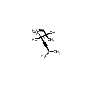 C=CC(C)(O)[C@@](C)(O)C#CN(C)C